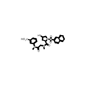 CN(CC(=O)N(C)c1cccc(C(=O)O)c1)C(=O)C1CC(S)CN1S(=O)(=O)c1ccc2ccccc2c1